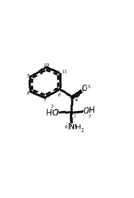 NC(O)(O)C(=O)c1ccccc1